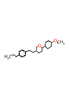 CCCc1ccc(CCC2CCC(C3CCC(OC)CC3)OC2)cc1